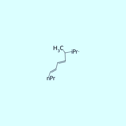 CCCC=CC=CC(C)[C](C)C